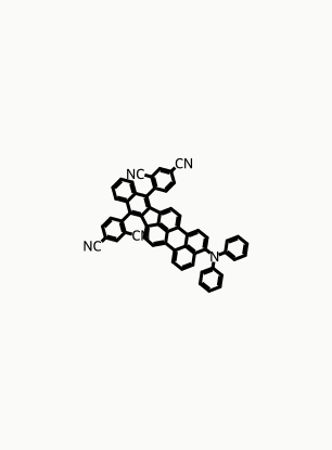 N#Cc1ccc(-c2c3c(c(-c4ccc(C#N)cc4C#N)c4ccccc24)-c2ccc4c5ccc(N(c6ccccc6)c6ccccc6)c6cccc(c7ccc-3c2c74)c65)c(C#N)c1